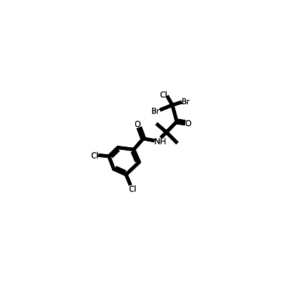 CC(C)(NC(=O)c1cc(Cl)cc(Cl)c1)C(=O)C(Cl)(Br)Br